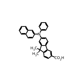 CC1(C)c2ccc(C(=O)O)cc2-c2ccc(N(c3ccccc3)c3ccc4ccccc4c3)cc21